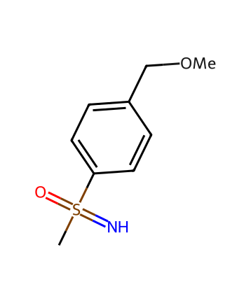 COCc1ccc(S(C)(=N)=O)cc1